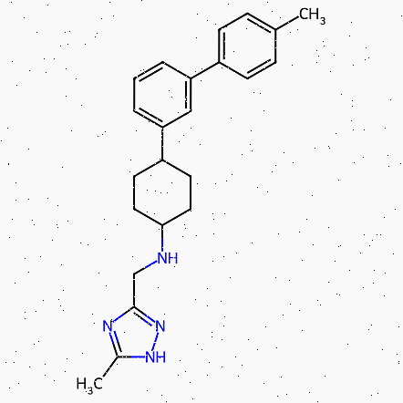 Cc1ccc(-c2cccc(C3CCC(NCc4n[nH]c(C)n4)CC3)c2)cc1